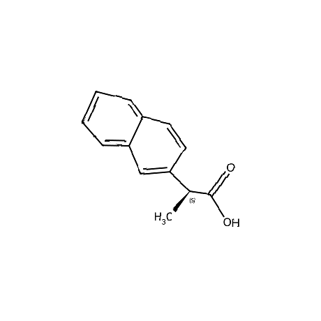 C[C@H](C(=O)O)c1ccc2ccccc2c1